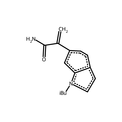 C=C(C(N)=O)c1ccc2ccn(C(C)CC)c2c1